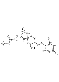 CCOC(=O)C1=CC2(CCC1SCc1ccc(F)cc1Cl)OC(COC(=O)CN)[C@@H](C)O2